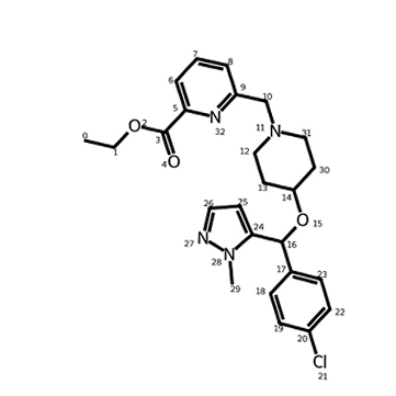 CCOC(=O)c1cccc(CN2CCC(OC(c3ccc(Cl)cc3)c3ccnn3C)CC2)n1